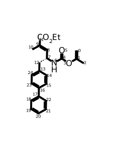 C=C(C)OC(=O)N[C@@H](/C=C(\C)C(=O)OCC)Cc1ccc(-c2ccccc2)cc1